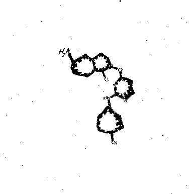 N#Cc1ccc(Nc2nccc(Oc3ccc4cc(N)ccc4c3Cl)n2)cc1